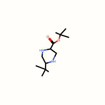 CC(C)(C)OC(=O)C1CNC(C(C)(C)C)CN1